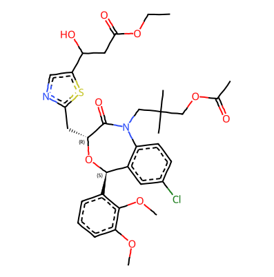 CCOC(=O)CC(O)c1cnc(C[C@H]2O[C@H](c3cccc(OC)c3OC)c3cc(Cl)ccc3N(CC(C)(C)COC(C)=O)C2=O)s1